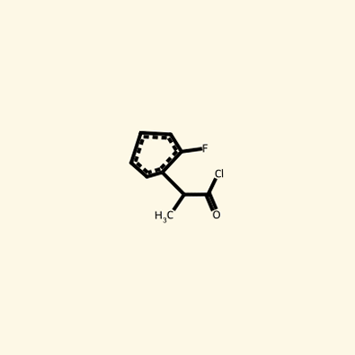 CC(C(=O)Cl)c1ccccc1F